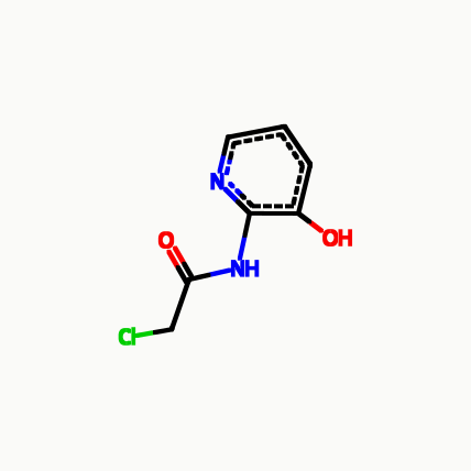 O=C(CCl)Nc1ncccc1O